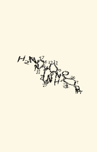 CC(C)Oc1ccc(C(=O)Nc2cccc3c(-c4ccc(N)nc4)ccnc23)cc1